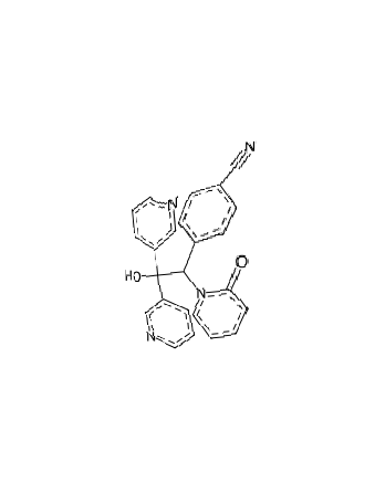 N#Cc1ccc(C(n2ccccc2=O)C(O)(c2cccnc2)c2cccnc2)cc1